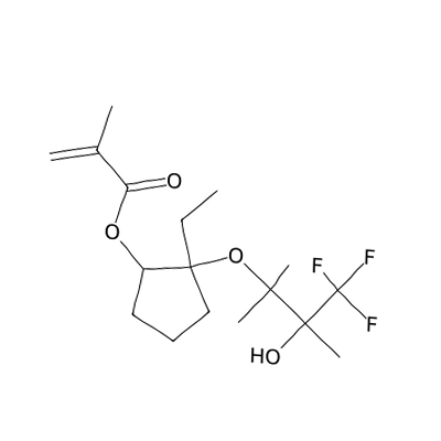 C=C(C)C(=O)OC1CCCC1(CC)OC(C)(C)C(C)(O)C(F)(F)F